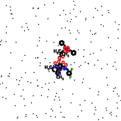 CC1=NO[C@@]2(CC[C@H](C)N3C[C@H]2n2cc(C(=O)NCc4ccc(F)cc4F)c(=O)c(OCOC(=O)CC(C)(C)COP(=O)(OCc4ccccc4)OCc4ccccc4)c2C3=O)C1